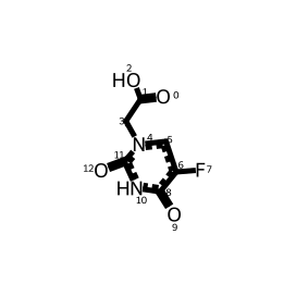 O=C(O)[CH]n1cc(F)c(=O)[nH]c1=O